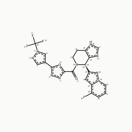 O=C(c1nnc(-c2cnn(C(F)(F)F)c2)o1)N1CCc2[nH]cnc2[C@H]1c1cc2c(F)cccn2n1